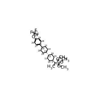 CO[Si](OC)(OC)C(C)[C@H]1CC[C@H](C2CCC(c3ccc(OC(F)(F)F)cc3)CC2)CC1